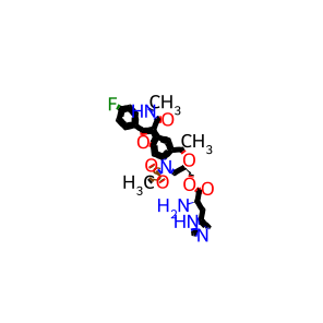 CNC(=O)c1c(-c2ccc(F)cc2)oc2cc3c(cc12)[C@H](C)O[C@H](COC(=O)[C@@H](N)Cc1cnc[nH]1)CN3S(C)(=O)=O